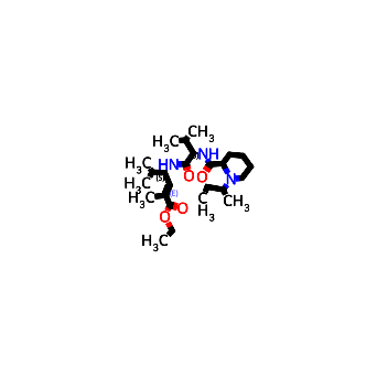 CCOC(=O)/C(C)=C/[C@@H](NC(=O)[C@@H](NC(=O)C1CCCCN1C(C)CC)C(C)C)C(C)C